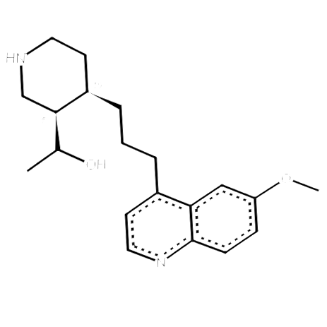 COc1ccc2nccc(CCC[C@@H]3CCNC[C@@H]3C(C)O)c2c1